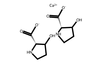 O=C([O-])[C@H]1NCCC1O.O=C([O-])[C@H]1NCCC1O.[Ca+2]